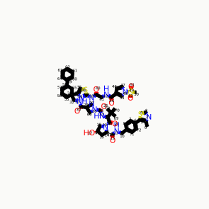 Cc1ncsc1-c1ccc(CNC(=O)[C@@H]2C[C@@H](O)CN2C(=O)C(NC(=O)N2CC(C(=O)NCC3(c4csc(NC(=O)CNC(=O)c5ccn(S(C)(=O)=O)c5)n4)C=CC=C(c4ccccc4)C3)C2)C(C)(C)C)cc1